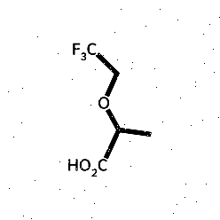 CC(OCC(F)(F)F)C(=O)O